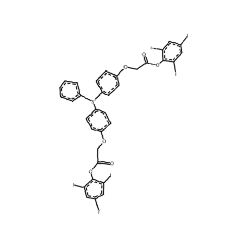 O=C(COc1ccc([S+](c2ccccc2)c2ccc(OCC(=O)Oc3c(I)cc(I)cc3I)cc2)cc1)Oc1c(I)cc(I)cc1I